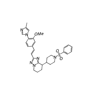 COc1cc(C=Cc2nc3n(n2)CCCC3C2CCN(S(=O)(=O)c3ccccc3)CC2)ccc1-n1cnc(C)c1